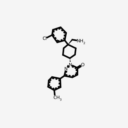 Cc1cccc(-c2ccc(=O)n([C@H]3CC[C@@](CN)(c4cccc(Cl)c4)CC3)n2)c1